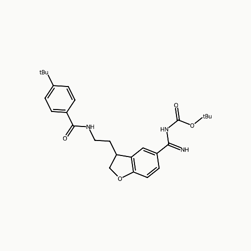 CC(C)(C)OC(=O)NC(=N)c1ccc2c(c1)C(CCNC(=O)c1ccc(C(C)(C)C)cc1)CO2